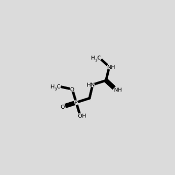 CNC(=N)NCP(=O)(O)OC